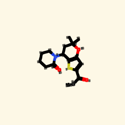 COC(=O)c1cc2c(s1)C(N1CCCCC1=O)CC(C)(C)O2